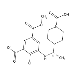 COC(=O)c1cc(N[C@@H](C)C2CCN(C(=O)O)CC2)c(Cl)c([N+](=O)[O-])c1